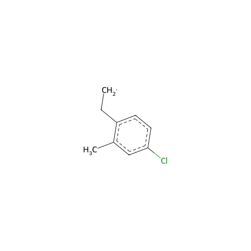 [CH2]Cc1ccc(Cl)cc1C